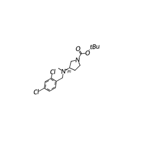 CN(Cc1ccc(Cl)cc1Cl)[C@@H]1CCN(C(=O)OC(C)(C)C)C1